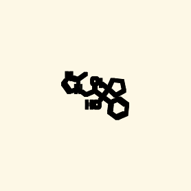 Cc1nccn1CC(=O)C(O)(c1ccccc1)C1(I)CCCC1